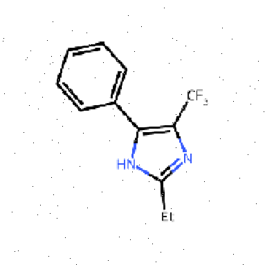 CCc1nc(C(F)(F)F)c(-c2ccccc2)[nH]1